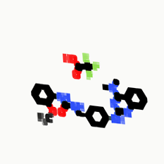 CN(C)c1nc(N[C@H]2CC[C@@H](CNC(=O)Nc3ccccc3OC(F)(F)F)CC2)nc2ccccc12.O=C(O)C(F)(F)F